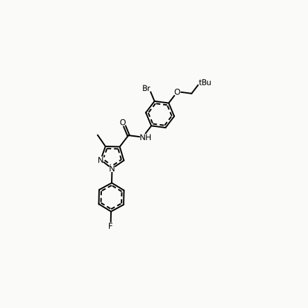 Cc1nn(-c2ccc(F)cc2)cc1C(=O)Nc1ccc(OCC(C)(C)C)c(Br)c1